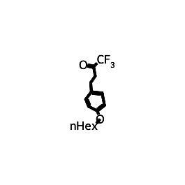 CCCCCCOc1ccc(CCC(=O)C(F)(F)F)cc1